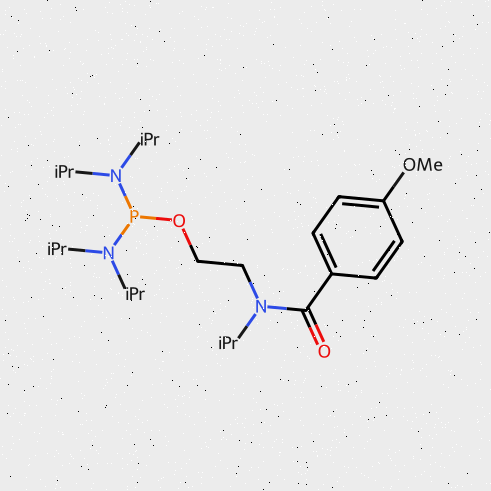 COc1ccc(C(=O)N(CCOP(N(C(C)C)C(C)C)N(C(C)C)C(C)C)C(C)C)cc1